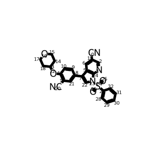 N#Cc1cnc2c(c1)c(-c1ccc(OC3CCOCC3)c(C#N)c1)cn2S(=O)(=O)c1ccccc1